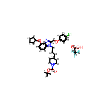 CC(C)(C)OC(=O)N1CCC(CCCn2c(COc3ccc(Cl)cc3)nc3c(OC4CCCC4)cccc32)CC1.O=C(O)C(F)(F)F